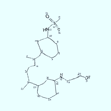 CC(CCC(C)C1CCCC(NS(C)(=O)=O)C1)C1CCCC(NCCO)C1